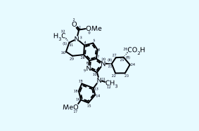 COC(=O)N1c2ccc3c(nc(N(C)c4ccc(OC)cc4)n3[C@@H]3CCC[C@@H](C(=O)O)C3)c2CC[C@@H]1C